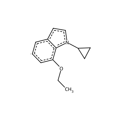 CCOc1c[c]cc2ccn(C3CC3)c12